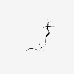 CC(C)(N)CCOC(C)(C)CCC=O